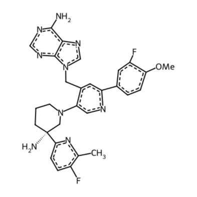 COc1ccc(-c2cc(Cn3cnc4c(N)ncnc43)c(N3CCC[C@](N)(c4ccc(F)c(C)n4)C3)cn2)cc1F